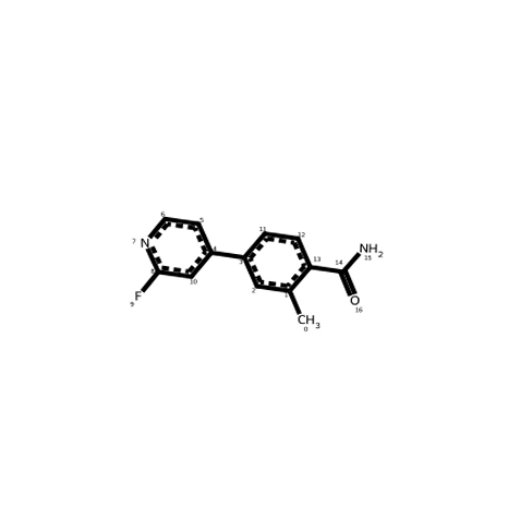 Cc1cc(-c2ccnc(F)c2)ccc1C(N)=O